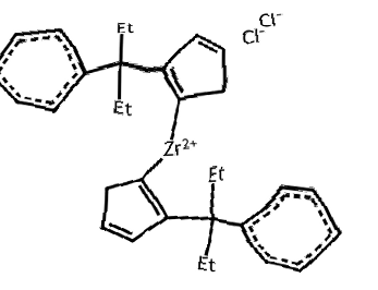 CCC(CC)(C1=[C]([Zr+2][C]2=C(C(CC)(CC)c3ccccc3)C=CC2)CC=C1)c1ccccc1.[Cl-].[Cl-]